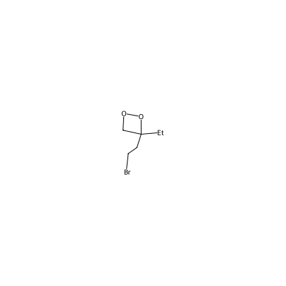 CCC1(CCBr)COO1